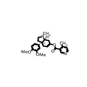 COc1ccc([C@@]23CC=C(OC(=O)c4cnccc4C)C[C@@H]2N(C)CC3)cc1OC